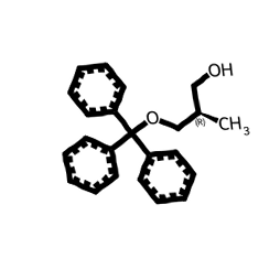 C[C@H](CO)COC(c1ccccc1)(c1ccccc1)c1ccccc1